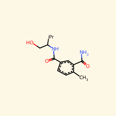 Cc1ccc(C(=O)NC(CO)C(C)C)cc1C(N)=O